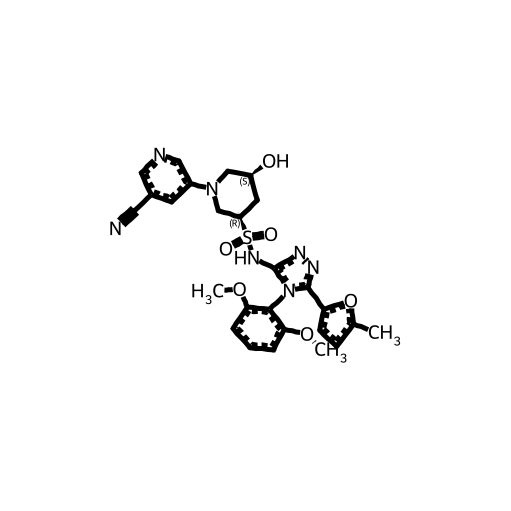 COc1cccc(OC)c1-n1c(NS(=O)(=O)[C@@H]2C[C@H](O)CN(c3cncc(C#N)c3)C2)nnc1-c1ccc(C)o1